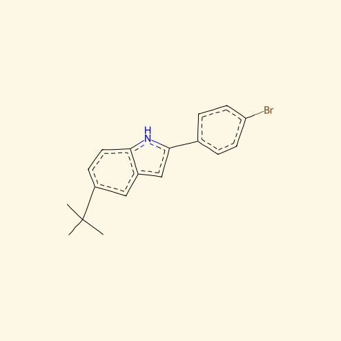 CC(C)(C)c1ccc2[nH]c(-c3ccc(Br)cc3)cc2c1